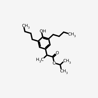 CCCCc1cc(C(C)C(=O)OC(C)C)cc(CCCC)c1O